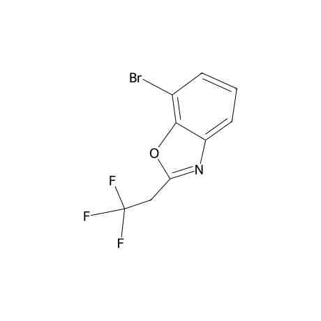 FC(F)(F)Cc1nc2cccc(Br)c2o1